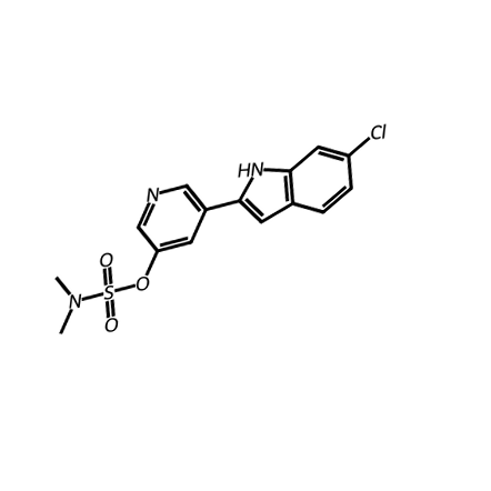 CN(C)S(=O)(=O)Oc1cncc(-c2cc3ccc(Cl)cc3[nH]2)c1